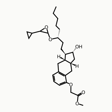 CCCCC[C@H](CC[C@@H]1[C@H]2Cc3cccc(OCC(=O)OC)c3C[C@H]2C[C@H]1O)OC1OC1C1CC1